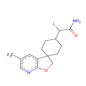 NC(=O)C(I)C1CCC2(CC1)COc1ncc(C(F)(F)F)cc12